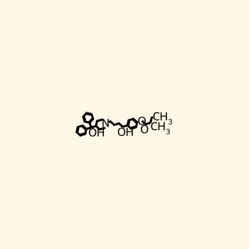 CCC(C)C(=O)Oc1ccc(C(O)CCCN2CCC(C(O)(c3ccccc3)c3ccccc3)CC2)cc1